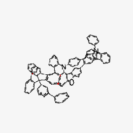 c1ccc(-c2ccc(N(c3ccccc3-c3cccc4c3-c3ccccc3C4(c3cccc(-c4ccccc4)c3)c3ccccc3-c3ccccc3)c3cccc4oc5ccc(-c6ccc7c(c6)c6ccccc6n7-c6ccccc6)cc5c34)cc2)cc1